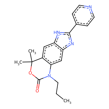 CCCN1C(=O)OC(C)(C)c2cc3[nH]c(-c4ccncc4)nc3cc21